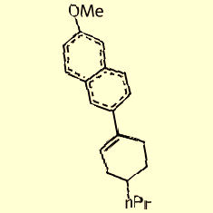 CCCC1CC=C(c2ccc3cc(OC)ccc3c2)CC1